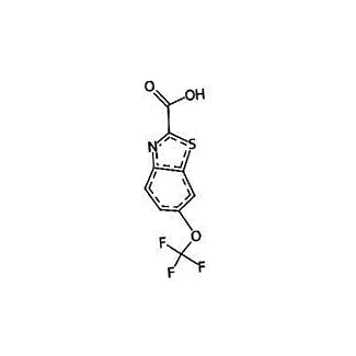 O=C(O)c1nc2ccc(OC(F)(F)F)cc2s1